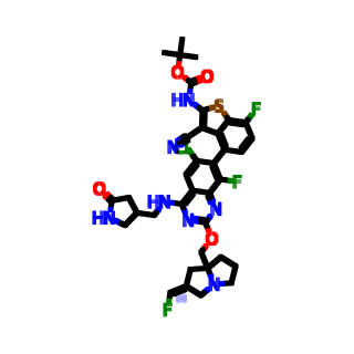 CC(C)(C)OC(=O)Nc1sc2c(F)ccc(-c3c(Cl)cc4c(NCC5CNC(=O)C5)nc(OCC56CCCN5C/C(=C\F)C6)nc4c3F)c2c1C#N